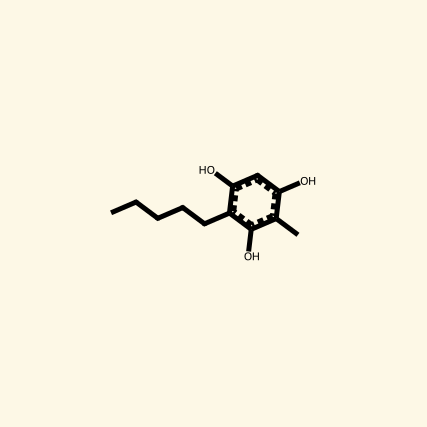 CCCCCc1c(O)cc(O)c(C)c1O